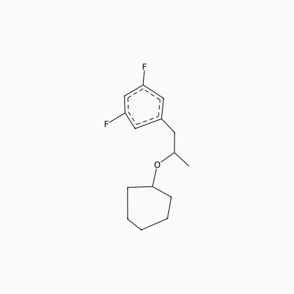 CC(Cc1cc(F)cc(F)c1)OC1CCCCC1